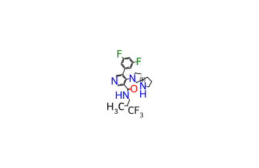 CC(CNC(=O)c1cncc(-c2cc(F)cc(F)c2)c1N1CC[C@@]2(CCCN2)C1)C(F)(F)F